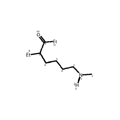 [2H]N(C)CCCCC(CC)C(=O)CC